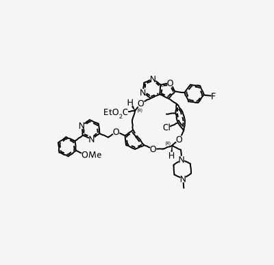 CCOC(=O)[C@H]1Cc2cc(ccc2OCc2ccnc(-c3ccccc3OC)n2)OC[C@@H](CN2CCN(C)CC2)Oc2ccc(c(C)c2Cl)-c2c(-c3ccc(F)cc3)oc3ncnc(c23)O1